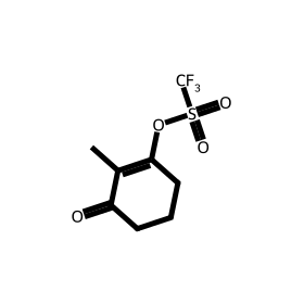 CC1=C(OS(=O)(=O)C(F)(F)F)CCCC1=O